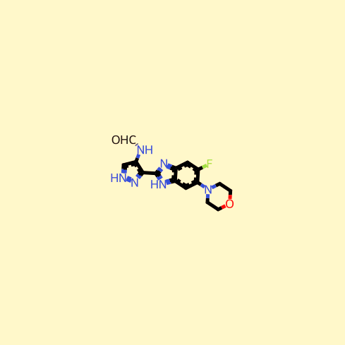 O=CNc1c[nH]nc1-c1nc2cc(F)c(N3CCOCC3)cc2[nH]1